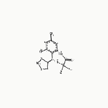 FC(F)(F)c1cnc(OC2CCNC2)c(Cl)c1.O=C(O)C(F)(F)F